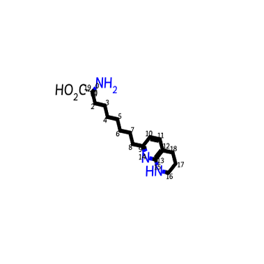 N[C@H](CCCCCCCc1ccc2c(n1)NCCC2)C(=O)O